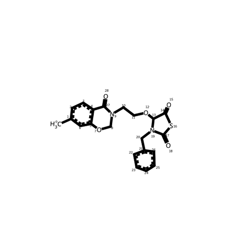 Cc1ccc2c(c1)OCN(CCOC1C(=O)SC(=O)N1Cc1ccccc1)C2=O